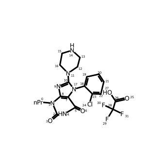 CCCn1c(=O)[nH]c(=O)c2c1nc(N1CCNCC1)n2-c1ccccc1Cl.O=C(O)C(F)(F)F